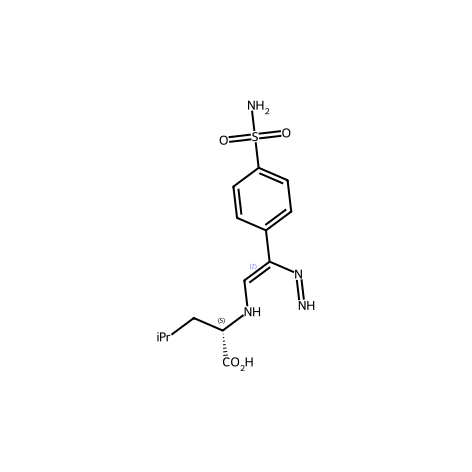 CC(C)C[C@H](N/C=C(\N=N)c1ccc(S(N)(=O)=O)cc1)C(=O)O